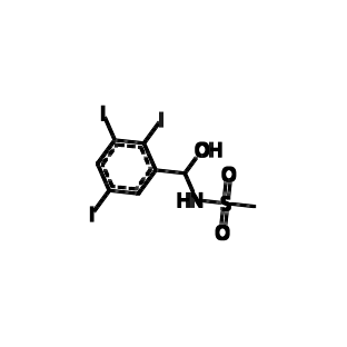 CS(=O)(=O)NC(O)c1cc(I)cc(I)c1I